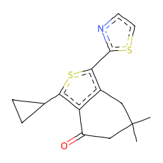 CC1(C)CC(=O)c2c(C3CC3)sc(-c3nccs3)c2C1